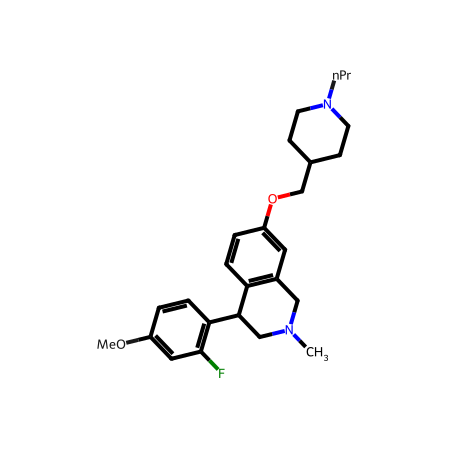 CCCN1CCC(COc2ccc3c(c2)CN(C)CC3c2ccc(OC)cc2F)CC1